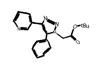 CC(C)(C)OC(=O)Cn1nnc(-c2cccnc2)c1-c1ccccc1